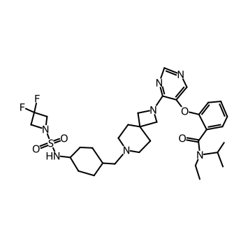 CCN(C(=O)c1ccccc1Oc1cncnc1N1CC2(CCN(CC3CCC(NS(=O)(=O)N4CC(F)(F)C4)CC3)CC2)C1)C(C)C